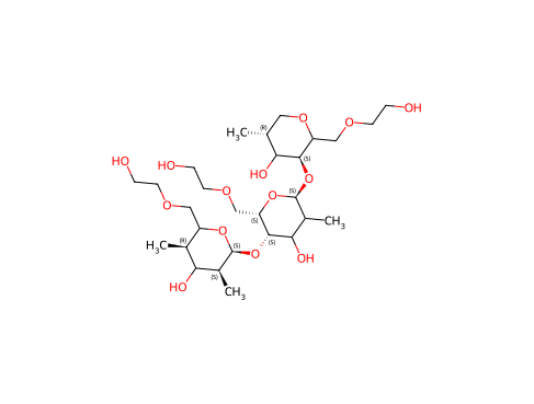 CC1C(O)[C@H](O[C@@H]2OC(COCCO)[C@H](C)C(O)[C@@H]2C)[C@H](COCCO)O[C@H]1O[C@@H]1C(COCCO)OC[C@@H](C)C1O